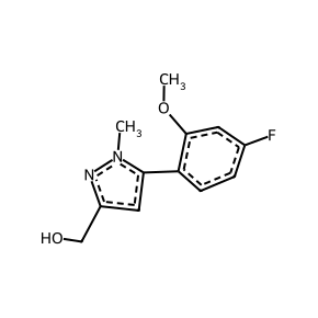 COc1cc(F)ccc1-c1cc(CO)nn1C